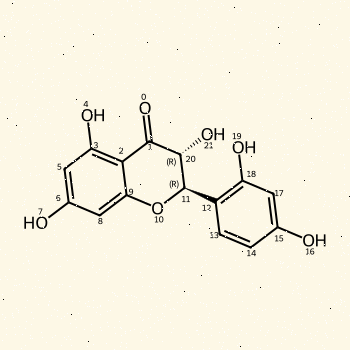 O=C1c2c(O)cc(O)cc2O[C@H](c2ccc(O)cc2O)[C@H]1O